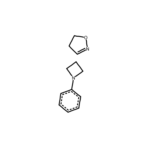 C1=NOCC1.c1ccc(N2CCC2)cc1